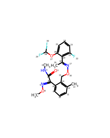 CNC(=O)/C(=N/OC)c1cccc(C)c1CO/N=C(\C)c1c(F)cccc1OC(F)F